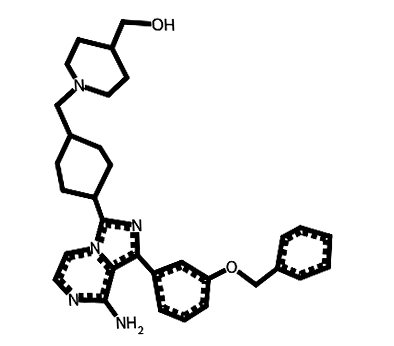 Nc1nccn2c(C3CCC(CN4CCC(CO)CC4)CC3)nc(-c3cccc(OCc4ccccc4)c3)c12